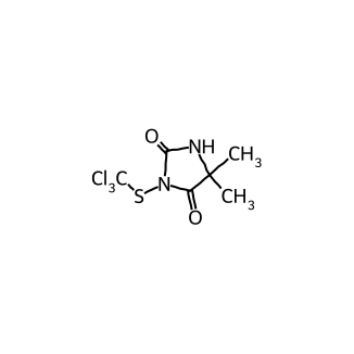 CC1(C)NC(=O)N(SC(Cl)(Cl)Cl)C1=O